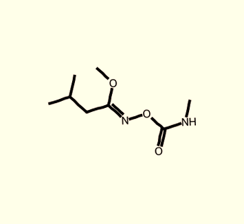 CNC(=O)ON=C(CC(C)C)OC